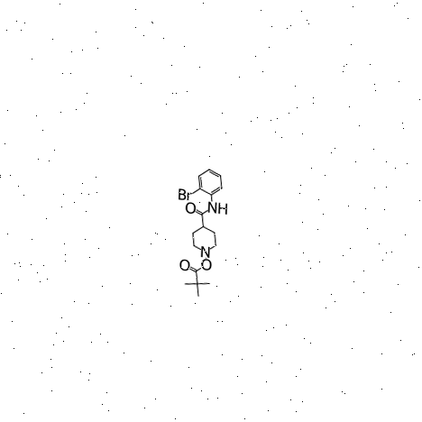 CC(C)(C)C(=O)ON1CCC(C(=O)Nc2ccccc2Br)CC1